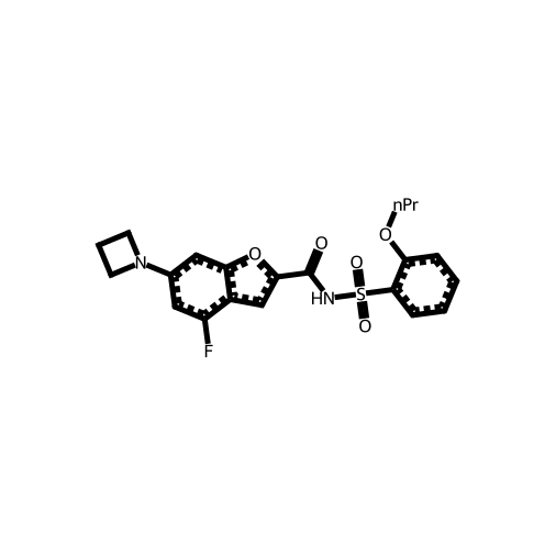 CCCOc1ccccc1S(=O)(=O)NC(=O)c1cc2c(F)cc(N3CCC3)cc2o1